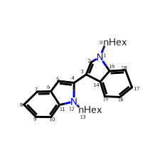 CCCCCCn1cc(-c2cc3ccccc3n2CCCCCC)c2ccccc21